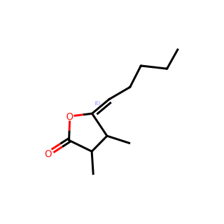 CCCC/C=C1/OC(=O)C(C)C1C